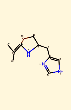 CC(C)=C1NC(Cc2c[nH]cn2)CS1